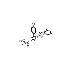 Cc1cccc2sc(-n3nc(CCC(=O)N(C)O)cc3-c3ccc(Cl)cc3)nc12